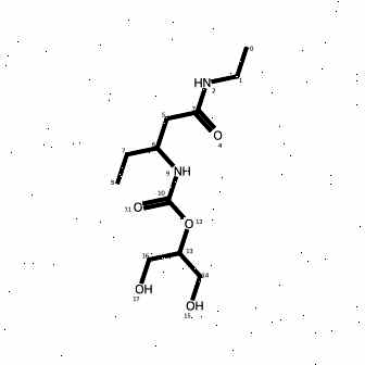 CCNC(=O)CC(CC)NC(=O)OC(CO)CO